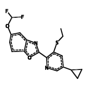 CCSc1cc(C2CC2)cnc1-c1nc2cc(OC(F)F)ccc2o1